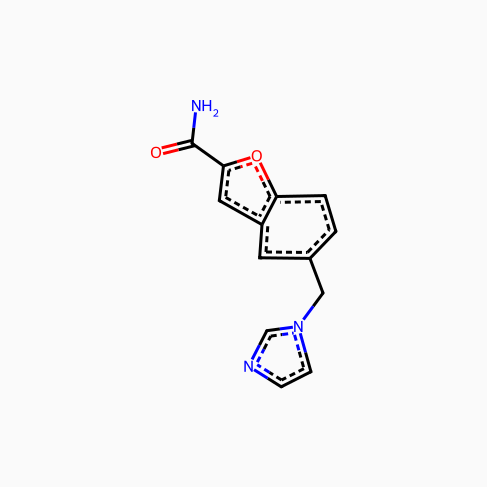 NC(=O)c1cc2cc(Cn3ccnc3)ccc2o1